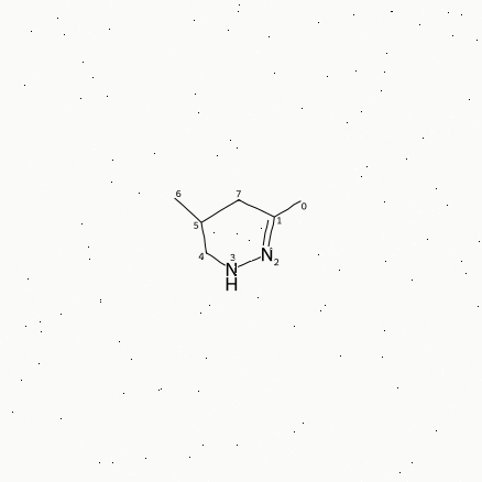 CC1=NNCC(C)C1